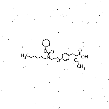 CCCCCCN(CCOc1ccc(CC(OCC)C(=O)O)cc1)C(=O)OC1CCCCC1